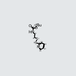 CC(C)(C)OC(=O)NCCSSc1ccccn1